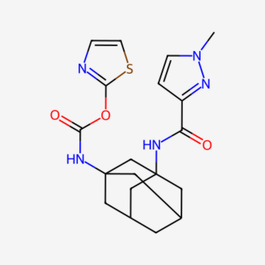 Cn1ccc(C(=O)NC23CC4CC(CC(NC(=O)Oc5nccs5)(C4)C2)C3)n1